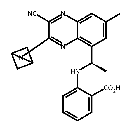 Cc1cc([C@@H](C)Nc2ccccc2C(=O)O)c2nc(N3CC4CC3C4)c(C#N)nc2c1